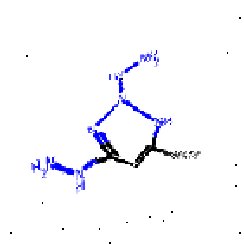 CNC1=CC(NN)=NN(NN)N1